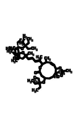 CC[C@H](O[Si](CC)(CC)CC)[C@@H](C)[C@H]1O[C@@H]1CC(C)(/C=C/C=C(\C)C1OC(=O)CC(O[Si](CC)(CC)CC)CCC(C)(O)C(OC(C)=O)C=CC1C)O[Si](CC)(CC)CC